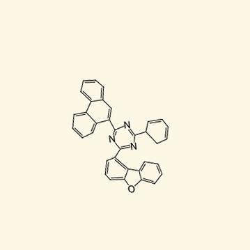 C1=CCC(c2nc(-c3cc4ccccc4c4ccccc34)nc(-c3cccc4oc5ccccc5c34)n2)C=C1